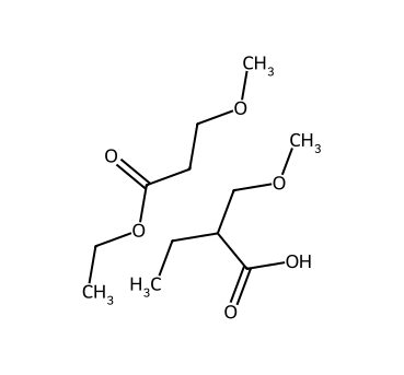 CCC(COC)C(=O)O.CCOC(=O)CCOC